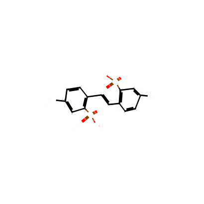 O=S(=O)(O)c1cc([AsH2])ccc1/C=C/c1ccc([AsH2])cc1S(=O)(=O)O